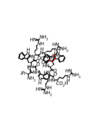 CC(C)[C@H](N)C(=O)N[C@@H](Cc1c[nH]c2ccccc12)C(=O)N[C@@H](Cc1c[nH]c2ccccc12)C(=O)N[C@@H](CCCNC(=N)N)C(=O)N[C@@H](CCCNC(=N)N)C(=O)N[C@@H](Cc1c[nH]c2ccccc12)C(=O)N[C@@H](Cc1c[nH]c2ccccc12)C(=O)N[C@@H](CCCNC(=N)N)C(=O)N[C@@H](CCCNC(=N)N)C(=O)O